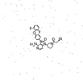 N#CCC(=O)N1CCCC(n2c(=O)n(-c3ccc(Oc4c(F)cccc4F)cc3)c3c(N)nccc32)C1